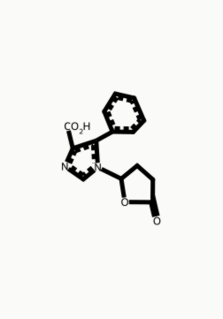 O=C1CCC(n2cnc(C(=O)O)c2-c2ccccc2)O1